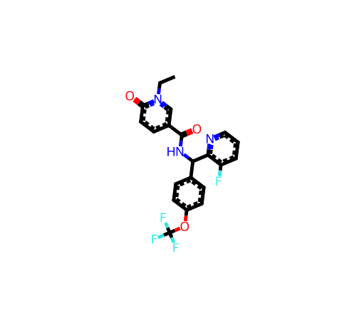 CCn1cc(C(=O)NC(c2ccc(OC(F)(F)F)cc2)c2ncccc2F)ccc1=O